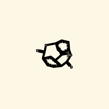 O=C1Oc2ccc(cc2)OC(=O)c2ccc1cc2C(=O)O